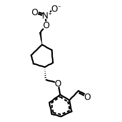 O=Cc1ccccc1OC[C@H]1CC[C@H](CO[N+](=O)[O-])CC1